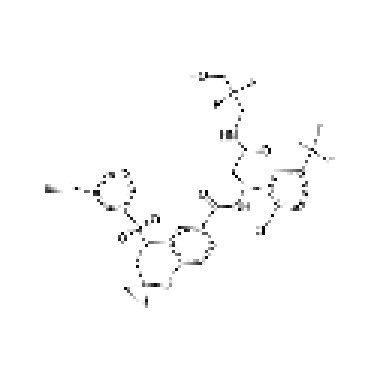 C#Cc1cccc(S(=O)(=O)N2CC3(CC3)Oc3ccc(C(=O)N[C@@H](CC(=O)NCC(F)(F)CO)c4cc(C(F)(F)F)ccc4Cl)cc32)c1